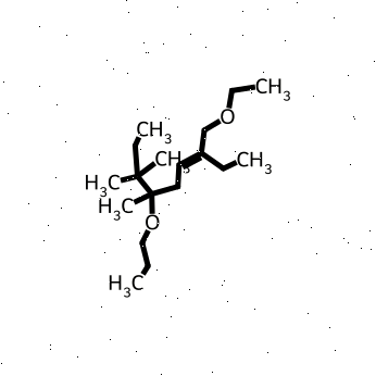 CCCOC(C)(C/C=C(\CC)COCC)C(C)(C)CC